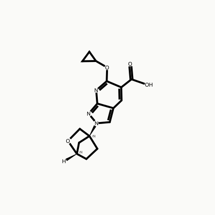 O=C(O)c1cc2cn([C@@]34CC[C@@H](C3)OC4)nc2nc1OC1CC1